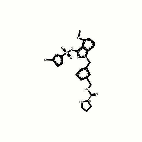 COc1cccc2c1c(NS(=O)(=O)c1ccc(Cl)s1)nn2Cc1cccc(CNC(=O)[C@H]2CCCN2)c1